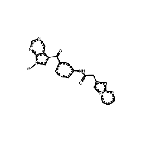 CC(C)n1cc(C(=O)c2cncc(NC(=O)Cc3cn4cccnc4n3)c2)c2cncnc21